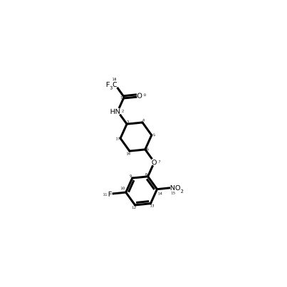 O=C(NC1CCC(Oc2cc(F)ccc2[N+](=O)[O-])CC1)C(F)(F)F